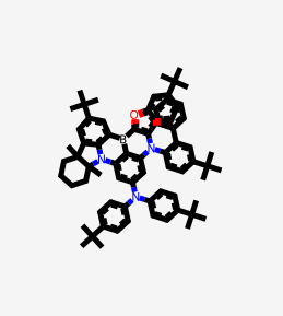 CC(C)(C)c1ccc(N(c2ccc(C(C)(C)C)cc2)c2cc3c4c(c2)N2c5c(cc(C(C)(C)C)cc5C5(C)CCCCC25C)B4c2oc4cc(C(C)(C)C)ccc4c2N3c2ccc(C(C)(C)C)cc2-c2ccccc2)cc1